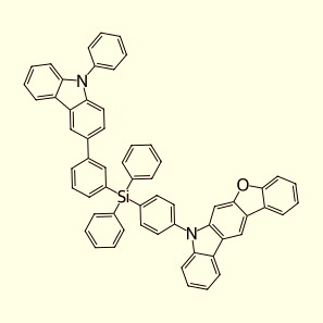 c1ccc(-n2c3ccccc3c3cc(-c4cccc([Si](c5ccccc5)(c5ccccc5)c5ccc(-n6c7ccccc7c7cc8c(cc76)oc6ccccc68)cc5)c4)ccc32)cc1